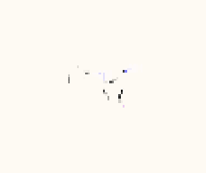 N=Cc1cc(I)ccc1NC1CCCC1